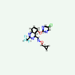 FC(F)(F)c1nc(C=NOCC2CC2)c2c(Oc3ncc(Cl)cn3)cccc2n1